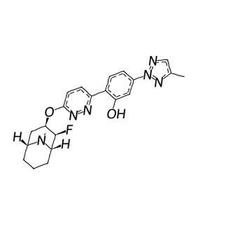 Cc1cnn(-c2ccc(-c3ccc(O[C@@H]4C[C@H]5CCC[C@@H]([C@@H]4F)N5C)nn3)c(O)c2)n1